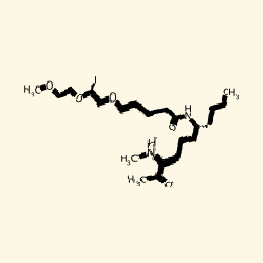 CCCC[C@H](CCCC(NC)C(C)=O)NC(=O)CCCCOC[C@H](I)OCCOC